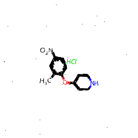 Cc1cc([N+](=O)[O-])ccc1OC1CCNCC1.Cl